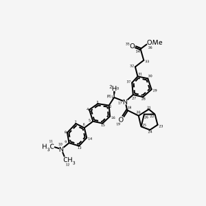 [2H][C@H](c1ccc(-c2ccc(N(C)C)cc2)cc1)N(C(=O)C1CC2CCC1C2)c1cccc(CCC(=O)OC)c1